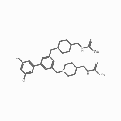 CNC(=O)NCC1CCN(Cc2cc(CN3CCC(CNC(=O)NC)CC3)cc(-c3cc(Cl)cc(Cl)c3)c2)CC1